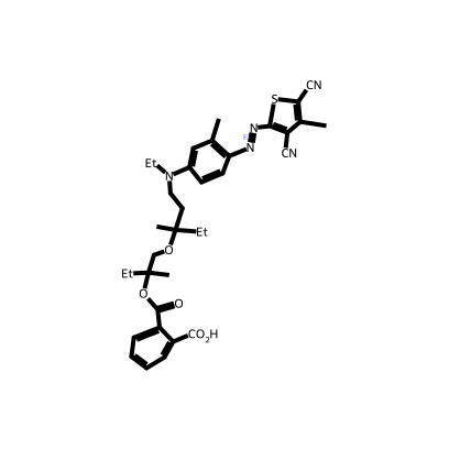 CCN(CCC(C)(CC)OCC(C)(CC)OC(=O)c1ccccc1C(=O)O)c1ccc(/N=N/c2sc(C#N)c(C)c2C#N)c(C)c1